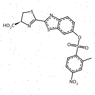 Cc1cc([N+](=O)[O-])ccc1S(=O)(=O)Oc1ccc2nc(C3=N[C@@H](C(=O)O)CS3)sc2c1